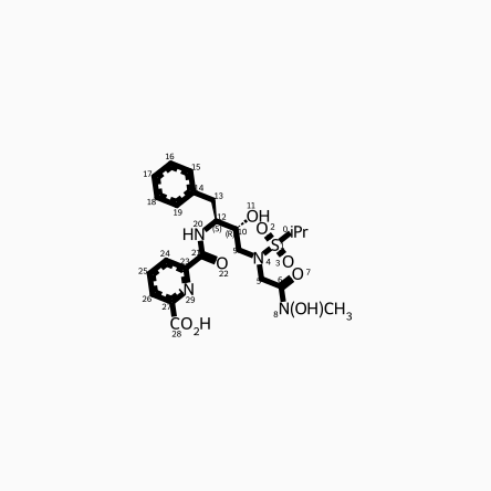 CC(C)S(=O)(=O)N(CC(=O)N(C)O)C[C@@H](O)[C@H](Cc1ccccc1)NC(=O)c1cccc(C(=O)O)n1